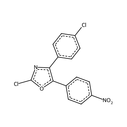 O=[N+]([O-])c1ccc(-c2oc(Cl)nc2-c2ccc(Cl)cc2)cc1